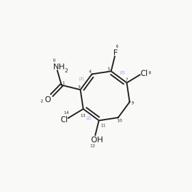 NC(=O)C1=C/C(F)=C(/Cl)CC/C(O)=C\1Cl